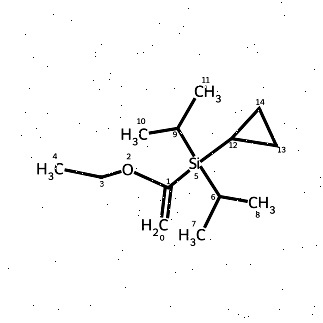 C=C(OCC)[Si](C(C)C)(C(C)C)C1CC1